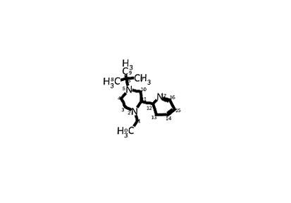 CCN1CCN(C(C)(C)C)CC1C1CC=CC=N1